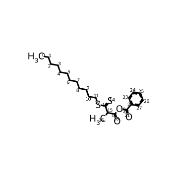 CCCCCCCCCCCCSC(=S)C(C)C(=O)OC(=O)c1ccccc1